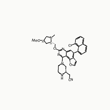 CO[C@@H]1C[C@@H](COc2nc(N3CCNC(CC#N)C3)c3c(cc(-c4cccc5cccc(Cl)c45)c4ccoc43)n2)N(C)C1